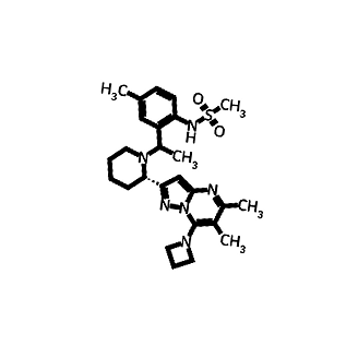 Cc1ccc(NS(C)(=O)=O)c(C(C)N2CCCC[C@H]2c2cc3nc(C)c(C)c(N4CCC4)n3n2)c1